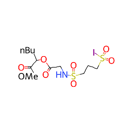 CCCCC(OC(=O)CNS(=O)(=O)CCCS(=O)(=O)I)C(=O)OC